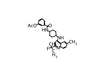 CC(=O)Oc1cccc(C(=O)NC2CCC(Nc3cc(C(C)(C)F)nc4ccc(C)cc34)CC2)c1